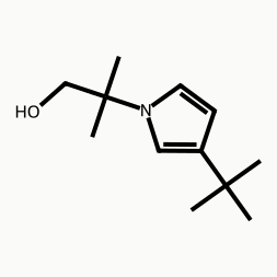 CC(C)(C)c1ccn(C(C)(C)CO)c1